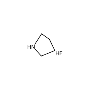 C1CCNC1.F